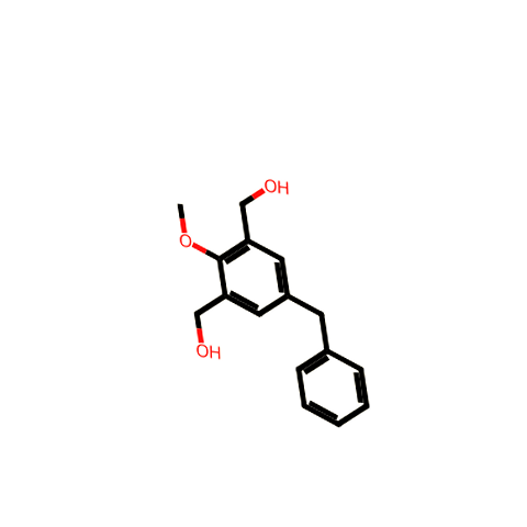 COc1c(CO)cc(Cc2ccccc2)cc1CO